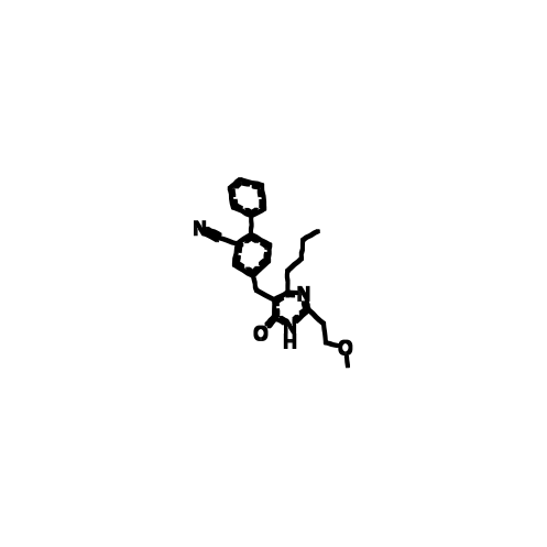 CCCCc1nc(CCOC)[nH]c(=O)c1Cc1ccc(-c2ccccc2)c(C#N)c1